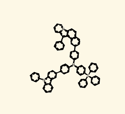 c1ccc(-c2c3c4cc(-c5ccc(N(c6ccc(-c7ccc8c(c7)c7ccccc7n8-c7ccccc7)cc6)c6ccc(S(c7ccccc7)(c7ccccc7)c7ccccc7)cc6)cc5)ccc4ccc3n3ccccc23)cc1